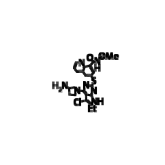 CCc1[nH]c2nc(Sc3cc(C(=O)NOC)c4ncccc4c3)nc(N3CCC(N)C3)c2c1Cl